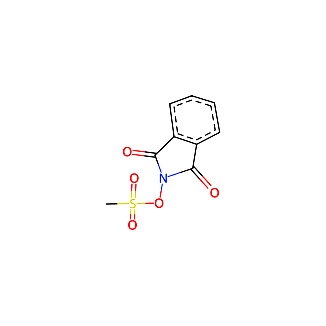 CS(=O)(=O)ON1C(=O)c2ccccc2C1=O